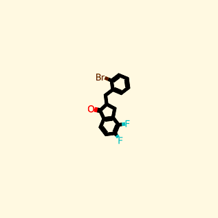 O=C1c2ccc(F)c(F)c2CC1Cc1ccccc1Br